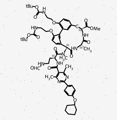 COC(=O)[C@@H]1Cc2ccc(OCCNC(=O)OC(C)(C)C)c(c2)-c2cc(ccc2OCCNC(=O)OC(C)(C)C)[C@H](N(C)C(=O)[C@H](CCNC=O)NC(=O)c2c(C)nc(-c3ccc(OC4CCCCC4)cc3)nc2C)C(=O)N[C@@H](C)C(=O)N1